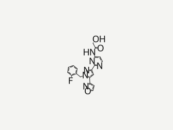 O=C(CO)Nc1ccnc(-c2cc(-c3ccon3)n(Cc3ccccc3F)n2)n1